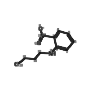 O=[N+]([O-])c1ccccc1NCCCCl